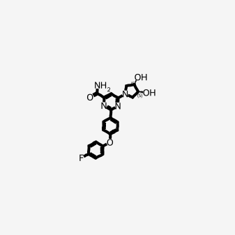 NC(=O)c1cc(N2C[C@H](O)[C@@H](O)C2)nc(-c2ccc(Oc3ccc(F)cc3)cc2)n1